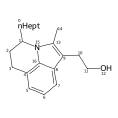 CCCCCCCC1CCc2cccc3c(CCO)c(C)n1c23